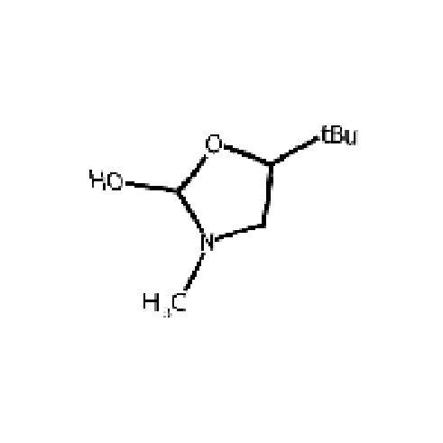 CN1CC(C(C)(C)C)OC1O